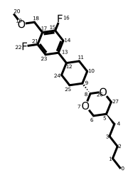 CCCCC[C@H]1CO[C@H](C2CCC(c3cc(F)c(COC)c(F)c3)CC2)OC1